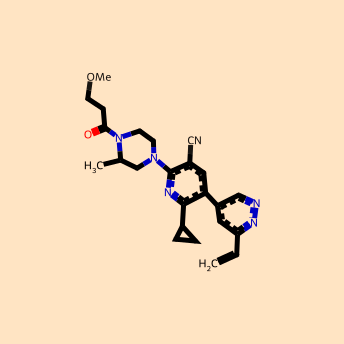 C=Cc1cc(-c2cc(C#N)c(N3CCN(C(=O)CCOC)C(C)C3)nc2C2CC2)cnn1